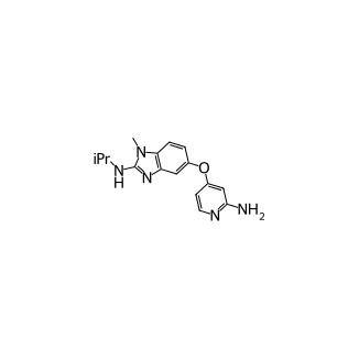 CC(C)Nc1nc2cc(Oc3ccnc(N)c3)ccc2n1C